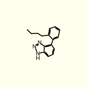 CCCCc1ccccc1-c1cccc2[nH]nnc12